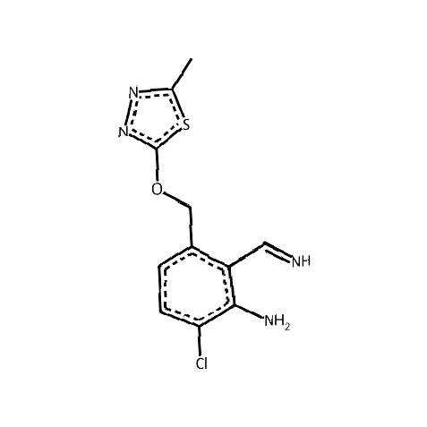 Cc1nnc(OCc2ccc(Cl)c(N)c2C=N)s1